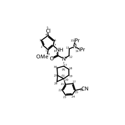 COc1ccc(Cl)cc1NC(=O)N(CCN(C(C)C)C(C)C)[C@@H]1CC[C@]2(c3cccc(C#N)c3)CC2C1